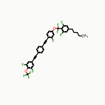 CCCCCc1cc(F)c(C(F)(F)Oc2ccc(C#Cc3ccc(C#Cc4cc(F)c(OC(F)(F)F)c(F)c4)cc3)c(F)c2)c(F)c1